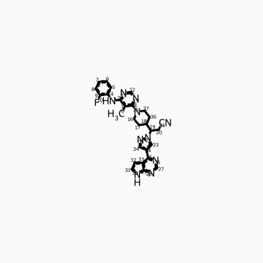 Cc1c(Nc2ccccc2F)ncnc1N1CCC(C(CC#N)n2cc(-c3ncnc4[nH]ccc34)cn2)CC1